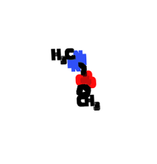 Cc1ccc(S(=O)(=O)OCCc2nnc(C)nn2)cc1